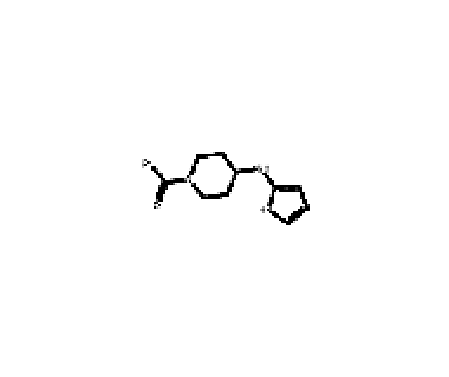 CC(C)C(=O)N1CCC(Nc2ccc[nH]2)CC1